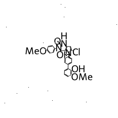 COc1ccc(N2C(=O)Nc3cc(Cl)n(-c4ccc(-c5cccc(OC)c5O)cc4)c3C2O)cc1